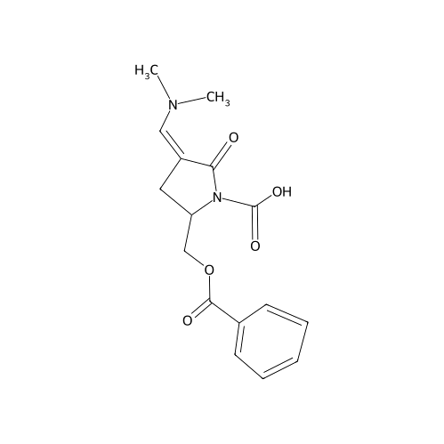 CN(C)C=C1CC(COC(=O)c2ccccc2)N(C(=O)O)C1=O